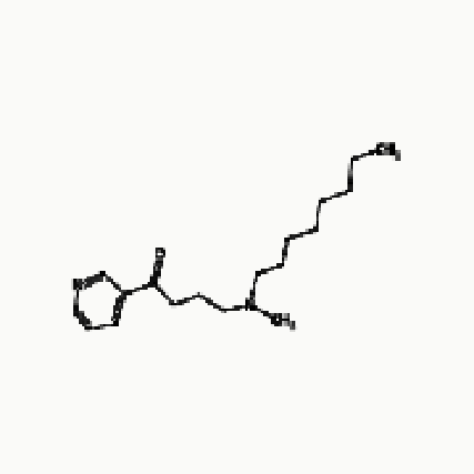 CCCCCCCCN(C)CCCC(=O)c1cccnc1